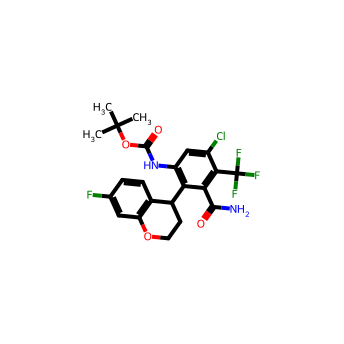 CC(C)(C)OC(=O)Nc1cc(Cl)c(C(F)(F)F)c(C(N)=O)c1C1CCOc2cc(F)ccc21